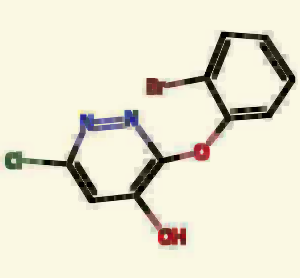 Oc1cc(Cl)nnc1Oc1ccccc1Br